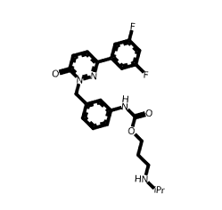 CC(C)NCCCOC(=O)Nc1cccc(Cn2nc(-c3cc(F)cc(F)c3)ccc2=O)c1